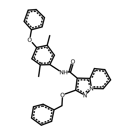 Cc1cc(Oc2ccccc2)c(C)cc1NC(=O)c1c(OCc2ccccc2)nn2ccccc12